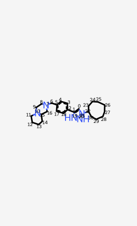 C1=C(c2ccc(CN3CCN4CCCCC4C3)cc2)NNN1C1CCCCCCCC1